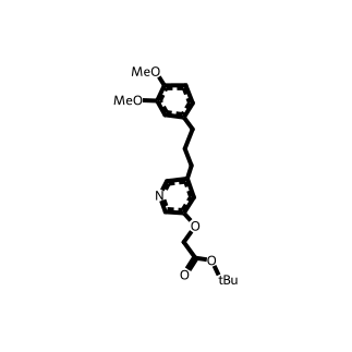 COc1ccc(CCCc2cncc(OCC(=O)OC(C)(C)C)c2)cc1OC